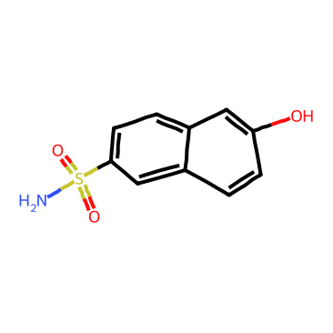 NS(=O)(=O)c1ccc2cc(O)ccc2c1